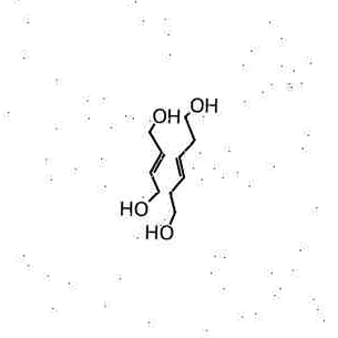 OCC=CCO.OCCC=CCCO